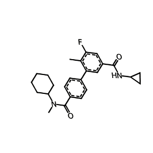 Cc1c(F)cc(C(=O)NC2CC2)cc1-c1ccc(C(=O)N(C)C2CCCCC2)cc1